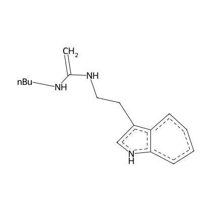 C=C(NCCCC)NCCc1c[nH]c2ccccc12